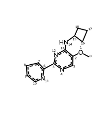 COc1cnc(-c2ccccn2)nc1NC1CCC1